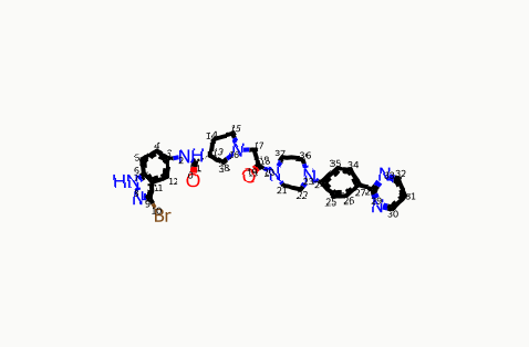 O=C(Nc1ccc2[nH]nc(Br)c2c1)[C@@H]1CCN(CC(=O)N2CCN(c3ccc(-c4ncccn4)cc3)CC2)C1